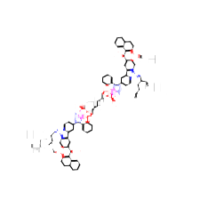 CCCCC(CC)Cn1c2ccc(C(=O)c3c(OCC)ccc4ccccc34)cc2c2cc(/C(=N/OC(C)=O)c3ccccc3OCCCCCCOc3ccccc3/C(=N\OC(C)=O)c3ccc4c(c3)c3cc(C(=O)c5c(OCC)ccc6ccccc56)ccc3n4CC(C)CCC)ccc21